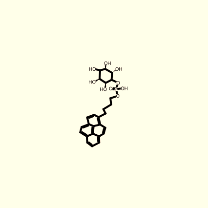 O=P(O)(OCCCCc1ccc2ccc3cccc4ccc1c2c34)OC1[C@@H](O)[C@H](O)C(O)[C@H](O)[C@@H]1O